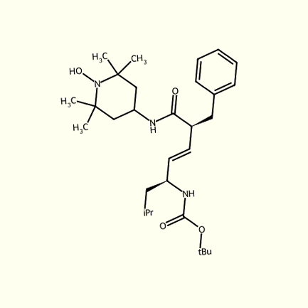 CC(C)C[C@@H](/C=C/[C@H](Cc1ccccc1)C(=O)NC1CC(C)(C)N(O)C(C)(C)C1)NC(=O)OC(C)(C)C